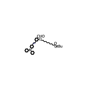 CC(C)(C)OC(=O)CCCCCCCCCOc1cc(/C=C/c2ccc(N(c3ccccc3)c3ccccc3)cc2)ccc1C=O